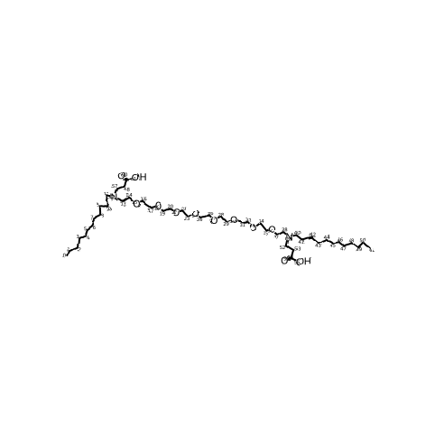 CCCCCCCCCCCCN(CCOCCOCCOCCOCCOCCOCCOCCOCCN(CCCCCCCCCCCC)CCC(=O)O)CCC(=O)O